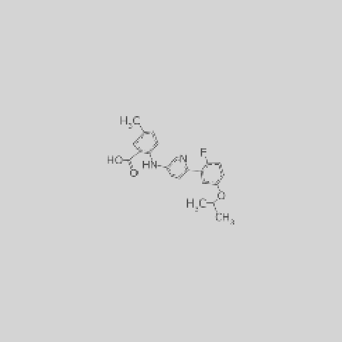 Cc1ccc(Nc2ccc(-c3cc(OC(C)C)ccc3F)nc2)c(C(=O)O)c1